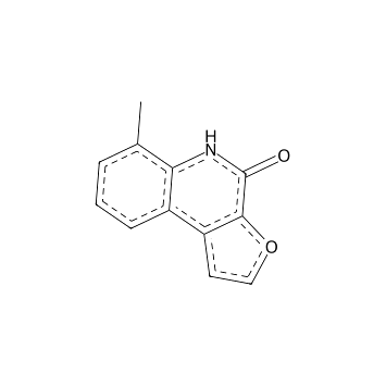 Cc1cccc2c1[nH]c(=O)c1occc12